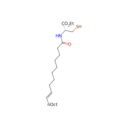 CCCCCCCCC=CCCCCCCCC(=O)N[C@@H](CS)C(=O)OCC